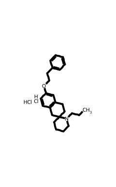 CCCN1CCCCC12CCc1cc(OCCc3ccccc3)ccc1C2.Cl.Cl